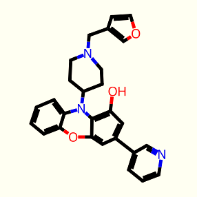 Oc1cc(-c2cccnc2)cc2c1N(C1CCN(Cc3ccoc3)CC1)c1ccccc1O2